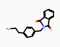 CCCc1ccc(CN2C(=O)c3ccccc3C2=O)cc1